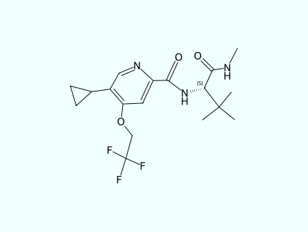 CNC(=O)[C@@H](NC(=O)c1cc(OCC(F)(F)F)c(C2CC2)cn1)C(C)(C)C